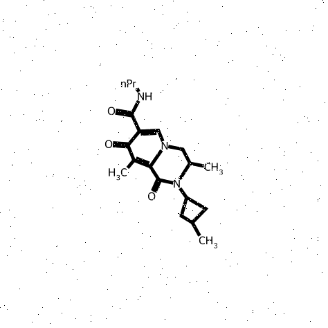 CCCNC(=O)c1cn2c(c(C)c1=O)C(=O)N(C1CC(C)C1)C(C)C2